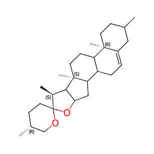 CC1CC[C@@]2(C)C(=CCC3C4CC5OC6(CC[C@@H](C)CO6)[C@@H](C)C5[C@@]4(C)CCC32)C1